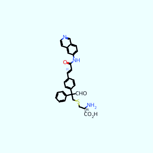 N[C@@H](CSCC(C=O)(c1ccccc1)c1ccc(/C=C/C(=O)Nc2ccc3cnccc3c2)cc1)C(=O)O